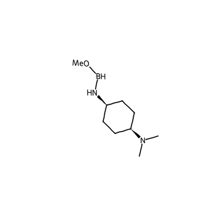 COBN[C@H]1CC[C@@H](N(C)C)CC1